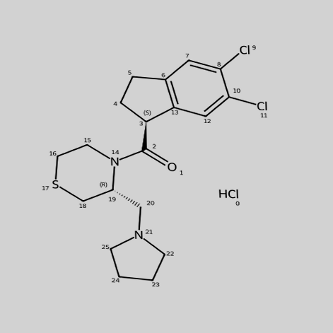 Cl.O=C([C@H]1CCc2cc(Cl)c(Cl)cc21)N1CCSC[C@H]1CN1CCCC1